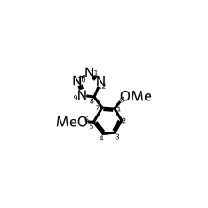 COc1cccc(OC)c1C1N=NN=N1